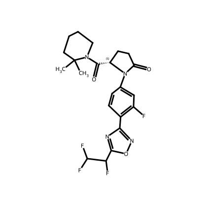 CC1(C)CCCCN1C(=O)[C@@H]1CCC(=O)N1c1ccc(-c2noc(C(F)C(F)F)n2)c(F)c1